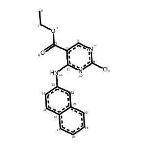 CCOC(=O)c1cnc(Cl)nc1Nc1ccc2ccccc2c1